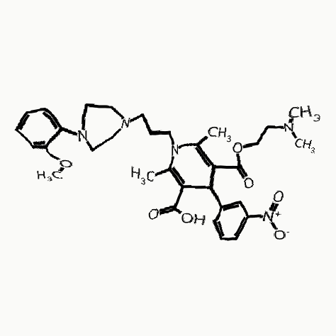 COc1ccccc1N1CCN(CCCN2C(C)=C(C(=O)O)C(c3cccc([N+](=O)[O-])c3)C(C(=O)OCCN(C)C)=C2C)CC1